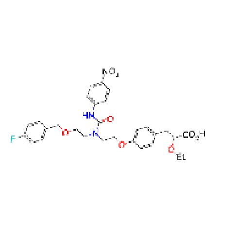 CCOC(Cc1ccc(OCCN(CCOCc2ccc(F)cc2)C(=O)Nc2ccc([N+](=O)[O-])cc2)cc1)C(=O)O